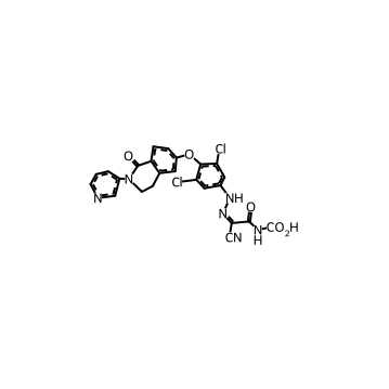 N#CC(=NNc1cc(Cl)c(Oc2ccc3c(c2)CCN(c2cccnc2)C3=O)c(Cl)c1)C(=O)NC(=O)O